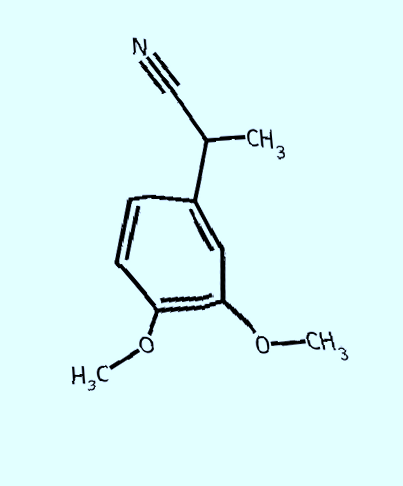 COc1ccc(C(C)C#N)cc1OC